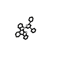 c1ccc(-c2cc(-c3ccccc3)nc(-n3c4ccccc4c4c5ccccc5c5c6ccccc6sc5c43)c2)cc1